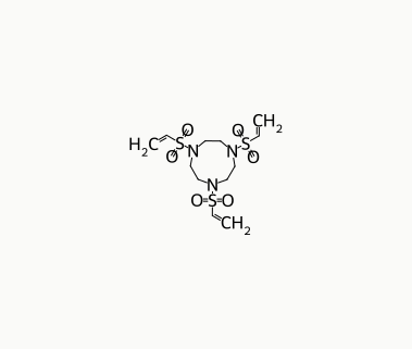 C=CS(=O)(=O)N1CCN(S(=O)(=O)C=C)CCN(S(=O)(=O)C=C)CC1